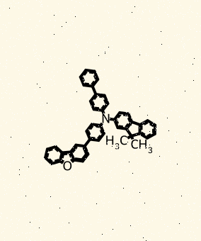 CC1(C)c2ccccc2-c2ccc(N(c3ccc(C4=C=C=c5oc6ccccc6c5=C4)cc3)c3ccc(-c4ccccc4)cc3)cc21